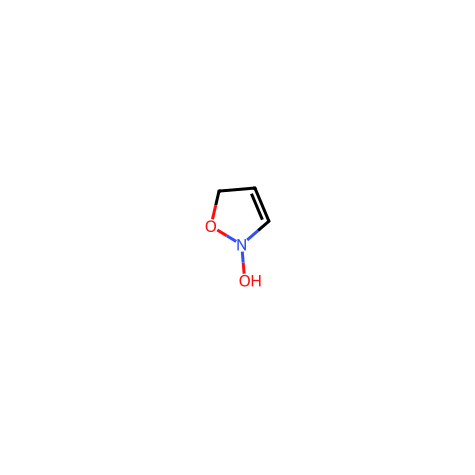 ON1C=CCO1